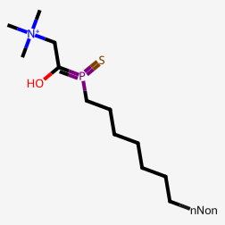 CCCCCCCCCCCCCCCC/P(=S)=C(\O)C[N+](C)(C)C